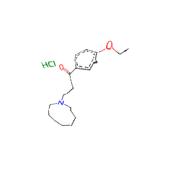 CCOc1ccc(C(=O)CCN2CCCCCC2)cc1.Cl